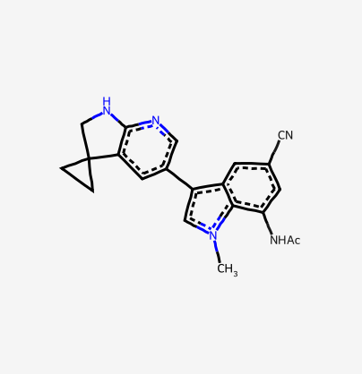 CC(=O)Nc1cc(C#N)cc2c(-c3cnc4c(c3)C3(CC3)CN4)cn(C)c12